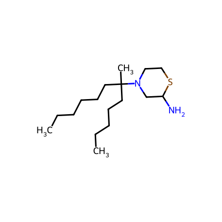 CCCCCCC(C)(CCCCC)N1CCSC(N)C1